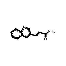 NC(=O)/C=C/c1cnc2ccccc2c1